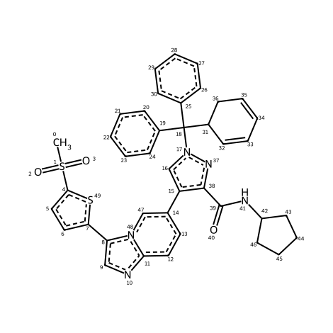 CS(=O)(=O)c1ccc(-c2cnc3ccc(-c4cn(C(c5ccccc5)(c5ccccc5)C5C=CC=CC5)nc4C(=O)NC4CCCC4)cn23)s1